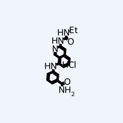 CCNC(=O)Nc1cc2cccc(Nc3cccc(C(N)=O)c3)c2cn1.Cl